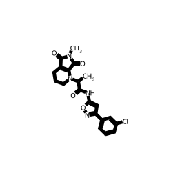 CC(C(=O)Nc1cc(-c2cccc(Cl)c2)no1)N1CCCC2=C1C(=O)N(C)C2=O